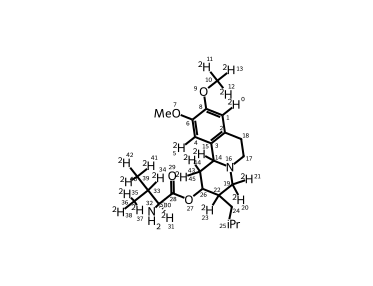 [2H]c1c2c(c([2H])c(OC)c1OC([2H])([2H])[2H])C1([2H])N(CC2)C([2H])([2H])C([2H])(CC(C)C)C(OC(=O)[C@@]([2H])(N)C([2H])(C([2H])([2H])[2H])C([2H])([2H])[2H])C1([2H])[2H]